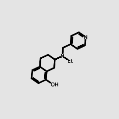 CCN(Cc1ccncc1)C1CCc2cccc(O)c2C1